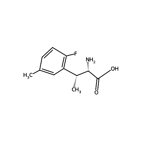 Cc1ccc(F)c([C@@H](C)[C@H](N)C(=O)O)c1